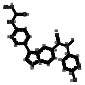 COC(=O)Nc1ccc(-c2cnn3ccc(C(=O)N(C)c4ccc(Cl)nc4)cc23)cn1